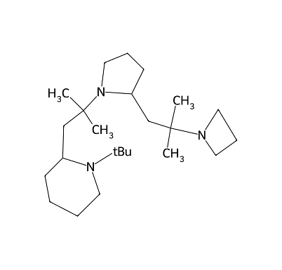 CC(C)(C)N1CCCCC1CC(C)(C)N1CCCC1CC(C)(C)N1CCC1